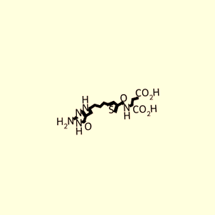 Nc1nc2[nH]c(CCCc3cc(C(=O)NC(CCC(=O)O)C(=O)O)cs3)cc2c(=O)[nH]1